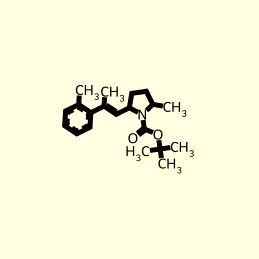 C/C(=C\C1CCC(C)N1C(=O)OC(C)(C)C)c1ccccc1C